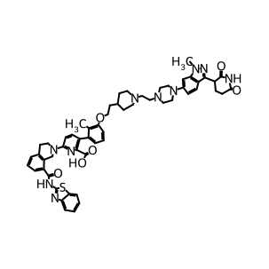 Cc1c(OCCC2CCN(CCN3CCN(c4ccc5c(C6CCC(=O)NC6=O)nn(C)c5c4)CC3)CC2)cccc1-c1ccc(N2CCc3cccc(C(=O)Nc4nc5ccccc5s4)c3C2)nc1C(=O)O